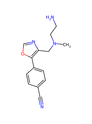 CN(CCN)Cc1ncoc1-c1ccc(C#N)cc1